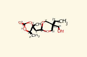 C=C1OC(=O)OC1(C)CC1OCC(CC)(CO)CO1